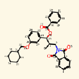 CC(CN1C(=O)c2ccccc2C1=O)C(OC(=O)c1ccccc1)c1cccc(OCC2CCCCC2)c1